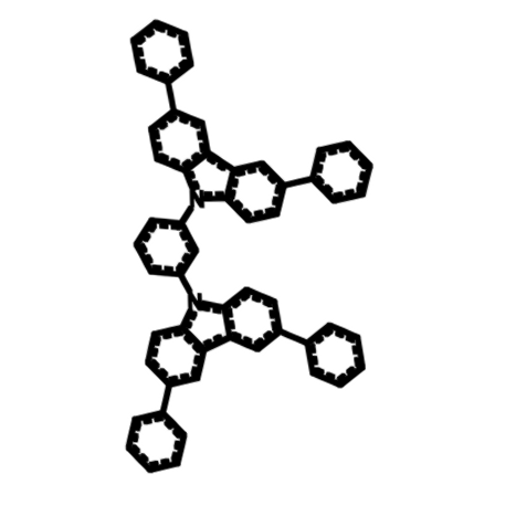 c1ccc(-c2ccc3c(c2)c2cc(-c4ccccc4)ccc2n3-c2cccc(-n3c4ccc(-c5ccccc5)cc4c4cc(-c5ccccc5)ccc43)c2)cc1